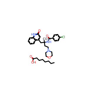 CCCCCCCC(=O)O.O=C(NC(CCN1CCOCC1)(Cc1cc(=O)[nH]c2ccccc12)C(=O)O)c1ccc(Cl)cc1